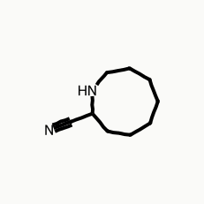 N#CC1CCCCCCCN1